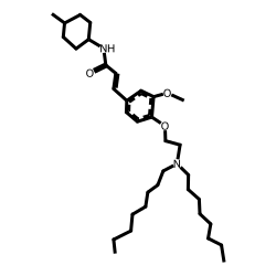 CCCCCCCCN(CCCCCCCC)CCOc1ccc(C=CC(=O)NC2CCC(C)CC2)cc1OC